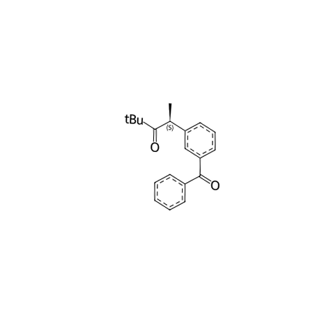 C[C@H](C(=O)C(C)(C)C)c1cccc(C(=O)c2ccccc2)c1